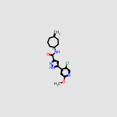 C=C1CCC[C@H](NC(=O)c2cc(-c3cc(OC)ncc3Cl)[nH]n2)CC1